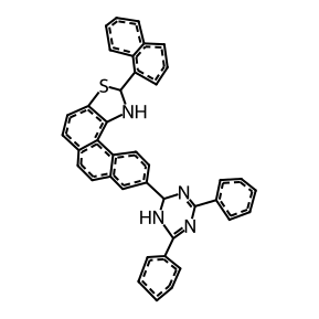 c1ccc(C2=NC(c3ccc4c(ccc5ccc6c(c54)NC(c4cccc5ccccc45)S6)c3)NC(c3ccccc3)=N2)cc1